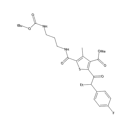 CCC(C(=O)c1sc(C(=O)NCCCNC(=O)OC(C)(C)C)c(C)c1C(=O)OC)c1ccc(F)cc1